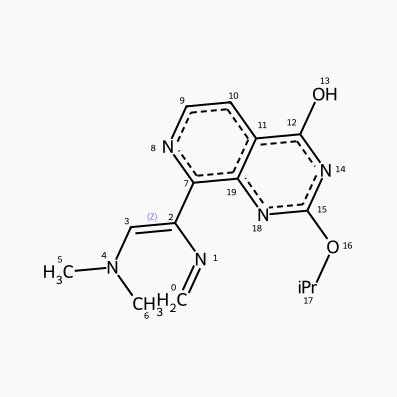 C=N/C(=C\N(C)C)c1nccc2c(O)nc(OC(C)C)nc12